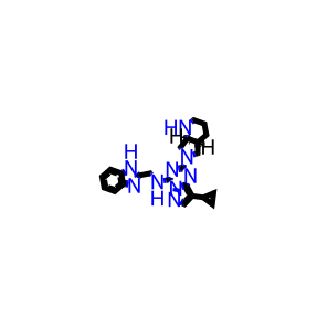 c1ccc2[nH]c(CNc3nc(N4C[C@@H]5CCCN[C@@H]5C4)nc4c(C5CC5)cnn34)nc2c1